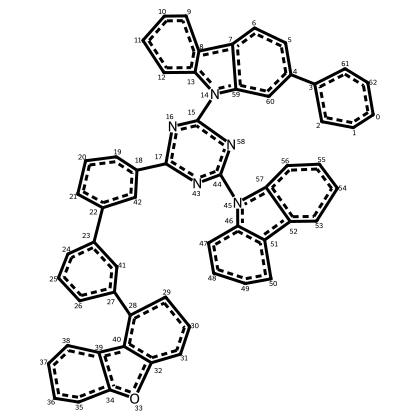 c1ccc(-c2ccc3c4ccccc4n(-c4nc(-c5cccc(-c6cccc(-c7cccc8oc9ccccc9c78)c6)c5)nc(-n5c6ccccc6c6ccccc65)n4)c3c2)cc1